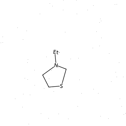 C[CH]N1CCSC1